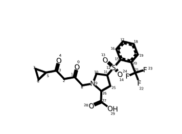 O=C(CC(=O)C1CC1)CN1CC(S(=O)(=O)c2ccccc2C(F)(F)F)CC1C(=O)O